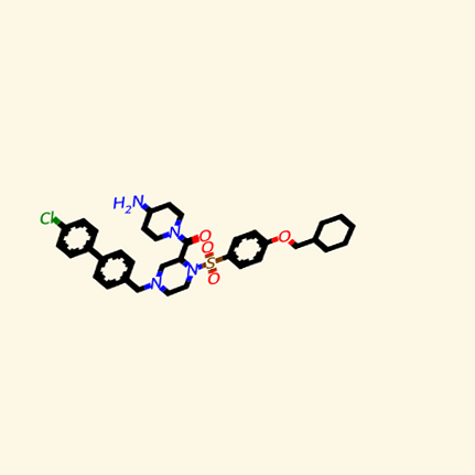 NC1CCN(C(=O)C2CN(Cc3ccc(-c4ccc(Cl)cc4)cc3)CCN2S(=O)(=O)c2ccc(OCC3CCCCC3)cc2)CC1